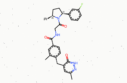 Cc1cc(Cc2ccc(C(=O)NCC(=O)N3[C@@H](C(C)C)CC[C@H]3c3cccc(F)c3)cc2C)c(=O)[nH]n1